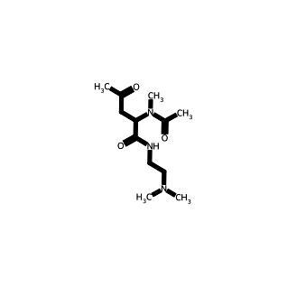 CC(=O)CC(C(=O)NCCN(C)C)N(C)C(C)=O